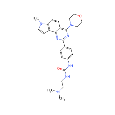 CN(C)CCNC(=O)Nc1ccc(-c2nc(N3CCOCC3)c3ccc4c(ccn4C)c3n2)cc1